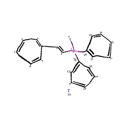 I[P+](/C=C/c1ccccc1)(c1ccccc1)c1ccccc1.[I-]